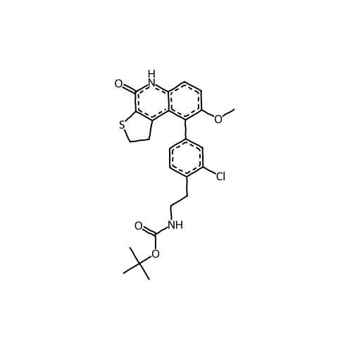 COc1ccc2[nH]c(=O)c3c(c2c1-c1ccc(CCNC(=O)OC(C)(C)C)c(Cl)c1)CCS3